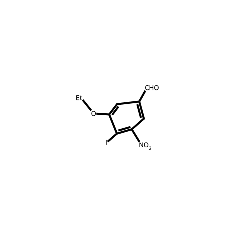 CCOc1cc(C=O)cc([N+](=O)[O-])c1I